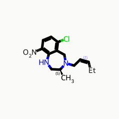 CC/C=C\CN1Cc2c(Cl)ccc([N+](=O)[O-])c2NC[C@@H]1C